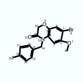 COc1cc2c(cc1Br)OCC(=O)N2Cc1ccc(I)cc1